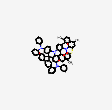 Cc1ccc2c(c1)Sc1cc(C)ccc1N2c1c(-c2ccccc2C#N)ccc(N2c3ccc(N(c4ccccc4)c4ccccc4)cc3C(c3ccccc3)(c3ccccc3)c3cc(N(c4ccccc4)c4ccccc4)ccc32)c1-c1ccccc1C#N